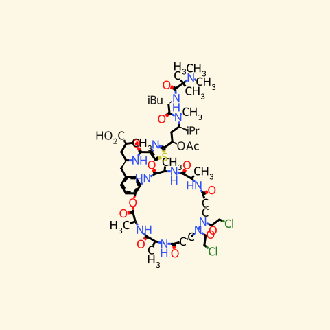 CC[C@H](C)[C@H](NC(=O)C(C)(C)N(C)C)C(=O)N(C)[C@H](C[C@@H](OC(C)=O)c1nc(C(=O)N[C@@H](Cc2ccc3c(c2)NC(=O)C(C)NC(=O)C(C)NC(=O)CCN(C(=O)CCl)N(C(=O)CCl)CCC(=O)NC(C)C(=O)NC(C)C(=O)O3)CC(C)C(=O)O)cs1)C(C)C